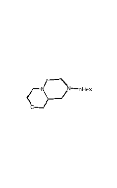 CCCCCCN1CCN2CCOCC2C1